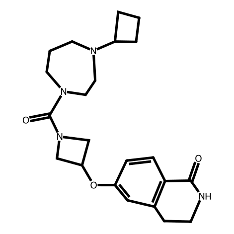 O=C1NCCc2cc(OC3CN(C(=O)N4CCCN(C5CCC5)CC4)C3)ccc21